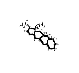 Cc1ccc2cc3cc4ccccc4cc3cc2c1C